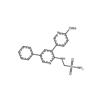 COc1ccc(-c2cc(-c3ccccc3)cnc2NCS(N)(=O)=O)cn1